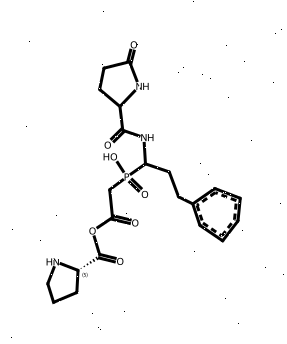 O=C1CCC(C(=O)NC(CCc2ccccc2)P(=O)(O)CC(=O)OC(=O)[C@@H]2CCCN2)N1